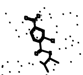 CC(C)C(C)SC(=O)c1ccc([N+](=O)[O-])cc1Cl